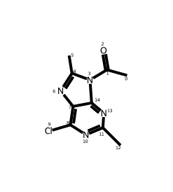 CC(=O)n1c(C)nc2c(Cl)nc(C)nc21